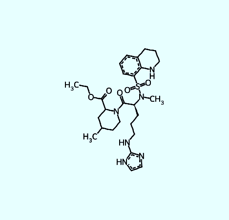 CCOC(=O)C1CC(C)CCN1C(=O)[C@H](CCCNc1ncc[nH]1)N(C)S(=O)(=O)c1cccc2c1NCCC2